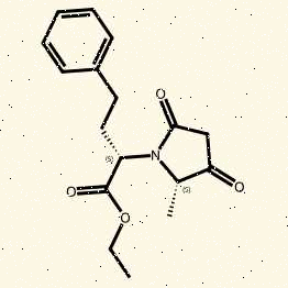 CCOC(=O)[C@H](CCc1ccccc1)N1C(=O)CC(=O)[C@@H]1C